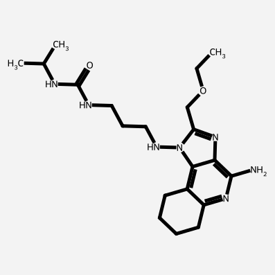 CCOCc1nc2c(N)nc3c(c2n1NCCCNC(=O)NC(C)C)CCCC3